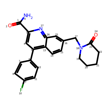 NC(=O)c1cc(-c2ccc(F)cc2)c2ccc(CN3CCCCC3=O)cc2n1